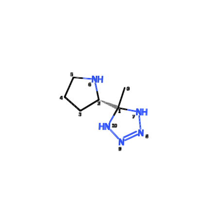 CC1([C@@H]2CCCN2)NN=NN1